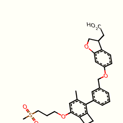 Cc1cc(OCCCS(C)(=O)=O)c2c(c1-c1cccc(COc3ccc4c(c3)OCC4CC(=O)O)c1)CC2